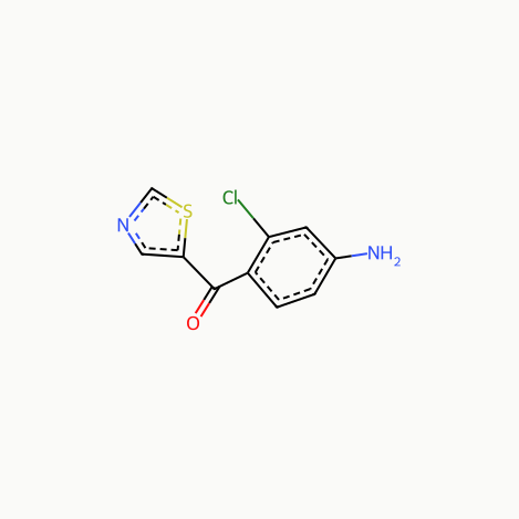 Nc1ccc(C(=O)c2cncs2)c(Cl)c1